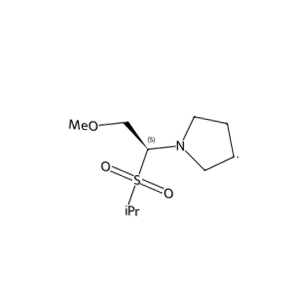 COC[C@@H](N1C[CH]CC1)S(=O)(=O)C(C)C